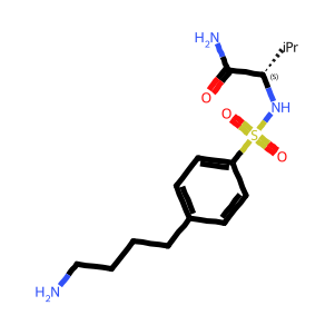 CC(C)[C@H](NS(=O)(=O)c1ccc(CCCCN)cc1)C(N)=O